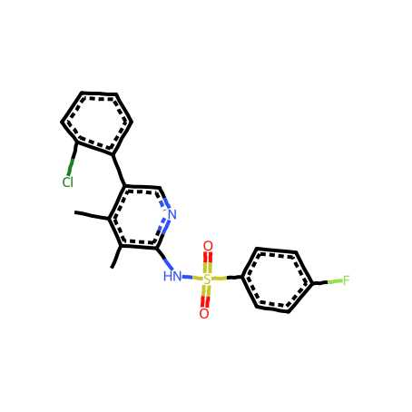 Cc1c(-c2ccccc2Cl)cnc(NS(=O)(=O)c2ccc(F)cc2)c1C